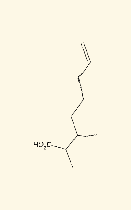 C=CCCCC(C)C(C)C(=O)O